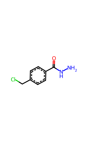 NNC(=O)c1ccc(CCl)cc1